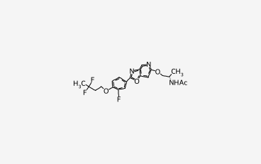 CC(=O)N[C@@H](C)COc1cc2oc(-c3ccc(OCCC(C)(F)F)c(F)c3)nc2cn1